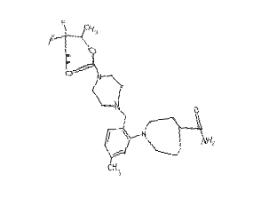 Cc1ccc(CN2CCN(C(=O)OC(C)C(F)(F)F)CC2)c(N2CCC(C(N)=O)CC2)c1